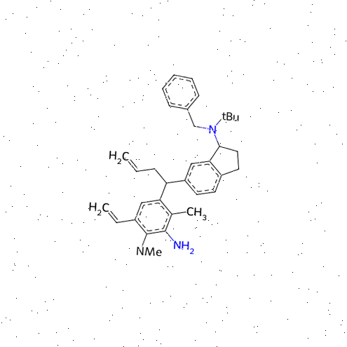 C=CCC(c1ccc2c(c1)C(N(Cc1ccccc1)C(C)(C)C)CC2)c1cc(C=C)c(NC)c(N)c1C